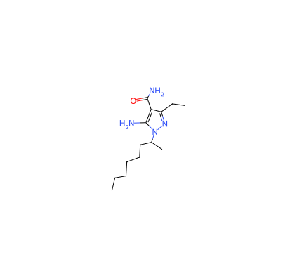 CCCCCCC(C)n1nc(CC)c(C(N)=O)c1N